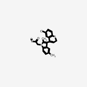 Cc1ccc2c(c1)c(C1=CCSc3ccc(Cl)cc31)c(C)n2CC(=O)N=O